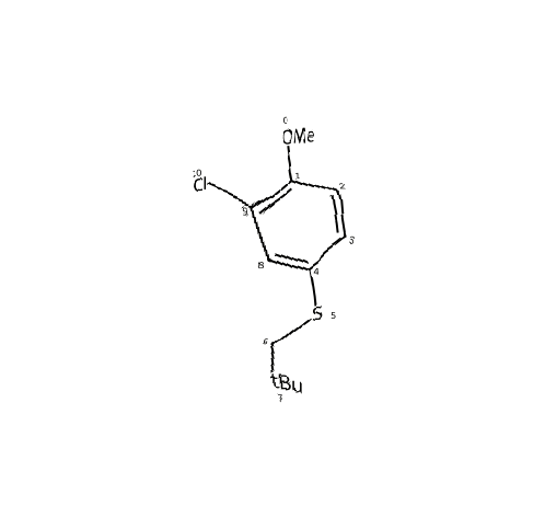 COc1ccc(SCC(C)(C)C)cc1Cl